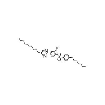 CCCCCCCCCCc1cnc(-c2ccc(OC(=O)c3ccc(CCCCCCC)cc3)c(F)c2)nc1